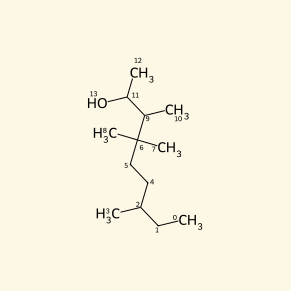 CCC(C)CCC(C)(C)C(C)C(C)O